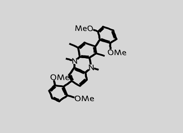 COc1cccc(OC)c1-c1ccc2c(c1)N(C)c1c(C)cc(-c3c(OC)cccc3OC)c(C)c1N2C